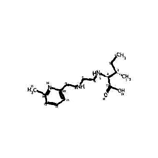 CC[C@H](C)[C@H](NCCNCc1cccc(C)n1)C(=O)O